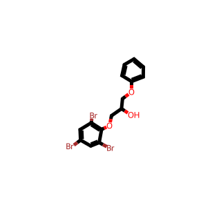 OC(COc1ccccc1)COc1c(Br)cc(Br)cc1Br